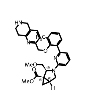 COC[C@H]1N(c2cccc(-c3cccc(C)c3OCc3ccc4c(n3)CCNC4)n2)C[C@@H]2C[C@@]21C(=O)OC